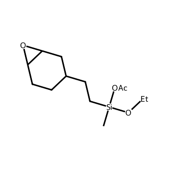 CCO[Si](C)(CCC1CCC2OC2C1)OC(C)=O